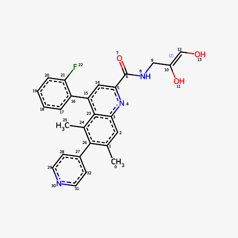 Cc1cc2nc(C(=O)NC/C(O)=C/O)cc(-c3ccccc3F)c2c(C)c1-c1ccncc1